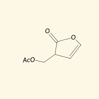 CC(=O)OCC1C=COC1=O